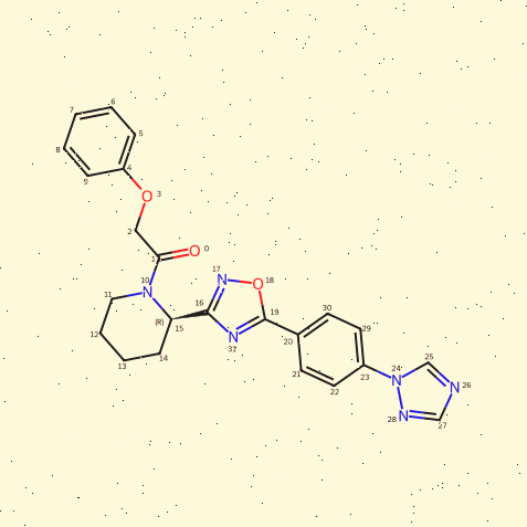 O=C(COc1ccccc1)N1CCCC[C@@H]1c1noc(-c2ccc(-n3cncn3)cc2)n1